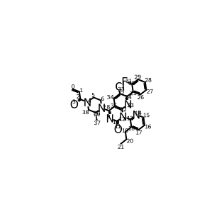 C=CC(=O)N1CCN(c2nc(=O)n(-c3ncccc3CCC)c3nc(-c4ccccc4F)c(Cl)cc23)[C@@H](C)C1